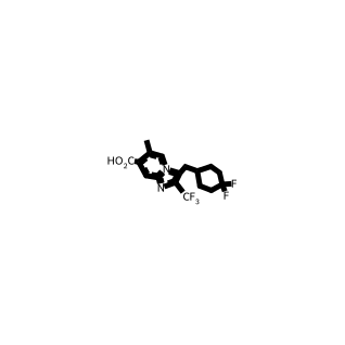 Cc1cn2c(CC3CCC(F)(F)CC3)c(C(F)(F)F)nc2cc1C(=O)O